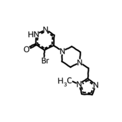 Cn1ccnc1CN1CCN(c2cn[nH]c(=O)c2Br)CC1